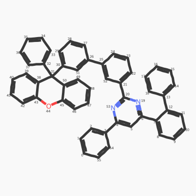 c1ccc(-c2cc(-c3ccccc3-c3ccccc3)nc(-c3cccc(-c4cccc(C5(c6ccccc6)c6ccccc6Oc6ccccc65)c4)c3)n2)cc1